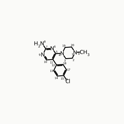 CN1CCN(c2nc(N)ncc2-c2ccc(Cl)cc2)CC1